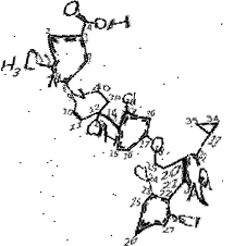 Cc1cc(C(=O)O)cc(N2CCC(O)(c3ccc(OCc4c(-c5c(Cl)cccc5Cl)noc4C4CC4)cc3Cl)CC2)n1